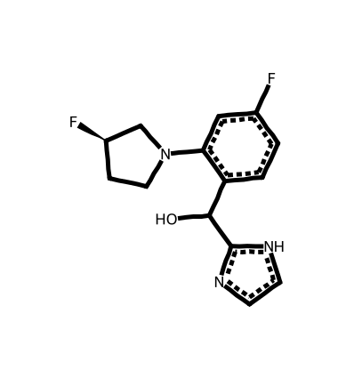 OC(c1ncc[nH]1)c1ccc(F)cc1N1CC[C@@H](F)C1